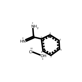 N=C(N)c1ccccc1.OCl